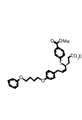 CCOC(=O)CC[C@@H](/C=C\Cc1ccc(OCCCCOc2ccccc2)cc1)Sc1ccc(C(=O)OC)cc1